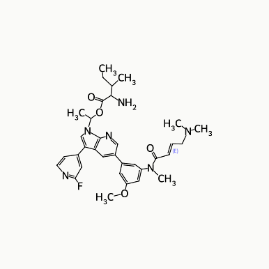 CCC(C)C(N)C(=O)OC(C)n1cc(-c2ccnc(F)c2)c2cc(-c3cc(OC)cc(N(C)C(=O)/C=C/CN(C)C)c3)cnc21